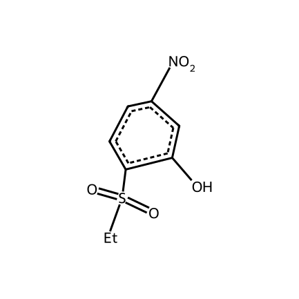 CCS(=O)(=O)c1ccc([N+](=O)[O-])cc1O